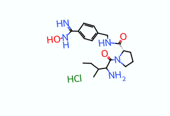 CCC(C)C(N)C(=O)N1CCC[C@H]1C(=O)NCc1ccc(C(=N)NO)cc1.Cl